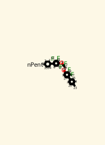 CCCCCC1CCC(c2ccc(OC(F)(F)COc3ccc(-c4ccc(C)cc4)c(F)c3F)c(F)c2F)CC1